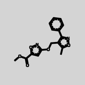 COC(=O)c1cc(OCc2c(-c3ccccc3)noc2C)no1